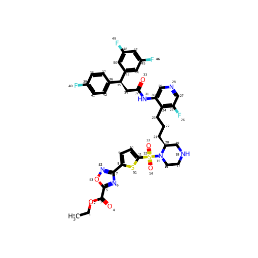 CCOC(=O)c1nc(-c2ccc(S(=O)(=O)N3CCNC[C@@H]3CCCc3c(F)cncc3NC(=O)C[C@@H](c3ccc(F)cc3)c3cc(F)cc(F)c3)s2)no1